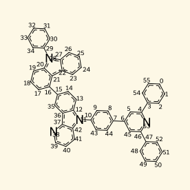 c1ccc(-c2cc(-c3ccc(-n4c5ccc(-c6cccc7c6c6ccccc6n7-c6ccccc6)cc5c5ncccc54)cc3)cc(-c3ccccc3)n2)cc1